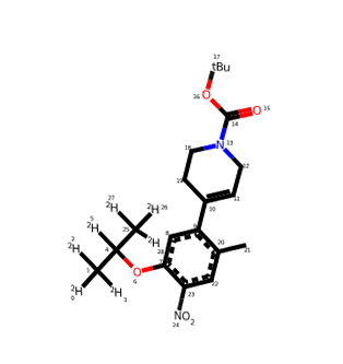 [2H]C([2H])([2H])C([2H])(Oc1cc(C2=CCN(C(=O)OC(C)(C)C)CC2)c(C)cc1[N+](=O)[O-])C([2H])([2H])[2H]